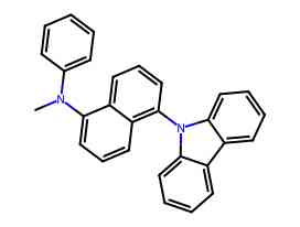 CN(c1ccccc1)c1cccc2c(-n3c4ccccc4c4ccccc43)cccc12